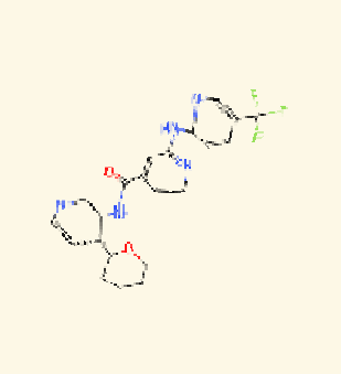 O=C(Nc1cnccc1C1CCCCO1)c1ccnc(Nc2ccc(C(F)(F)F)cn2)c1